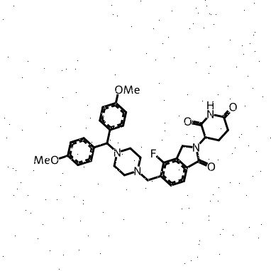 COc1ccc(C(c2ccc(OC)cc2)N2CCN(Cc3ccc4c(c3F)CN(C3CCC(=O)NC3=O)C4=O)CC2)cc1